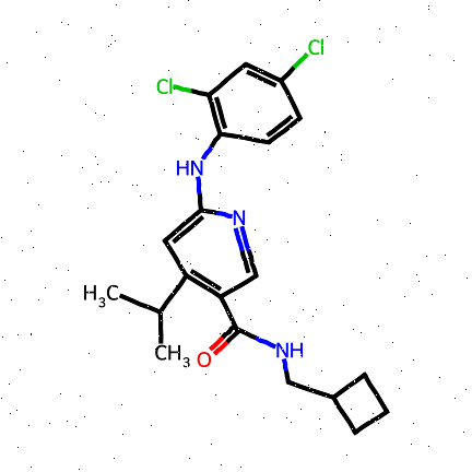 CC(C)c1cc(Nc2ccc(Cl)cc2Cl)ncc1C(=O)NCC1CCC1